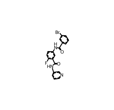 O=C(Nc1ccc(F)c(C(=O)Nc2cccnc2)c1)c1cccc(Br)c1